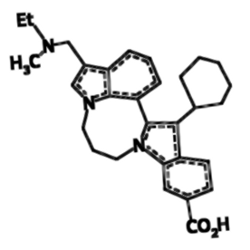 CCN(C)Cc1cn2c3c(cccc13)-c1c(C3CCCCC3)c3ccc(C(=O)O)cc3n1CCC2